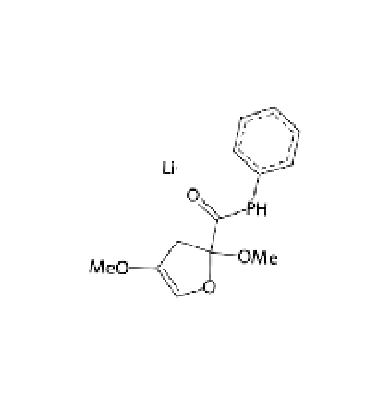 COC1=COC(OC)(C(=O)Pc2ccccc2)C1.[Li]